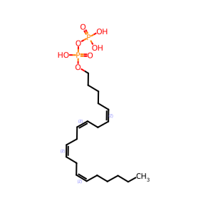 CCCCC/C=C\C/C=C\C/C=C\C/C=C\CCCCOP(=O)(O)OP(=O)(O)O